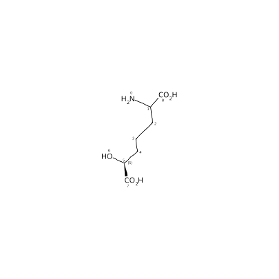 NC(CCC[C@H](O)C(=O)O)C(=O)O